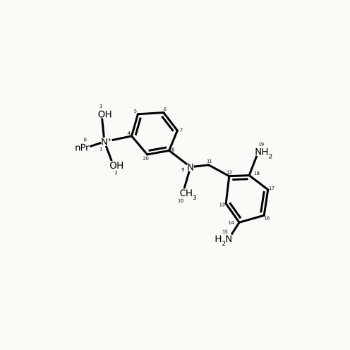 CCC[N+](O)(O)c1cccc(N(C)Cc2cc(N)ccc2N)c1